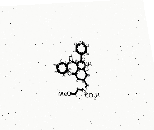 COCCN(CC1CC(=O)c2c([nH]c(-c3ccncc3)c2Nc2ccccc2)C1)C(=O)O